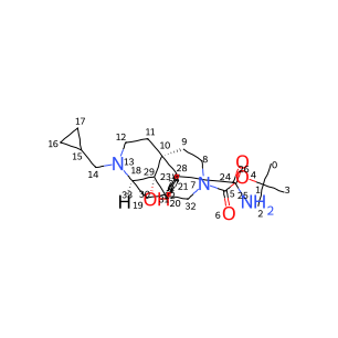 CC(C)(C)OC(=O)N1CC[C@]23CCN(CC4CC4)[C@H](Cc4ccc(C(N)=O)cc42)[C@]3(O)CC1